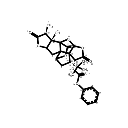 C[C@@H]1C(=O)OC2CC34C5C[C@@H](C(C)(C)C)C36C(OC(=O)[C@@H]6OC(=S)Oc3ccccc3)OC4(C(=O)O5)[C@]21O